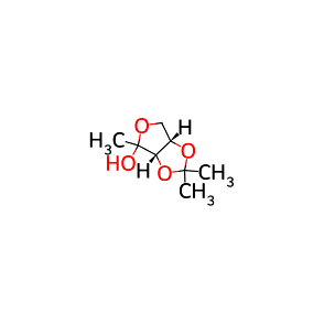 CC1(C)O[C@H]2COC(C)(O)[C@H]2O1